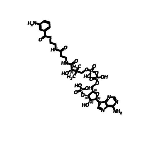 CC(C)(COP(=O)(O)OP(=O)(O)OC[C@H]1O[C@@H](n2cnc3c(N)ncnc32)[C@H](O)[C@@H]1OP(=O)(O)O)[C@@H](O)C(=O)NCCC(=O)NCCSC(=O)c1cccc(N)c1